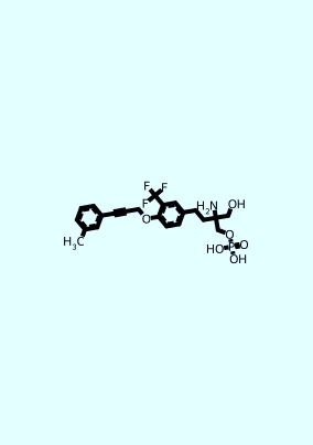 Cc1cccc(C#CCOc2ccc(CCC(N)(CO)COP(=O)(O)O)cc2C(F)(F)F)c1